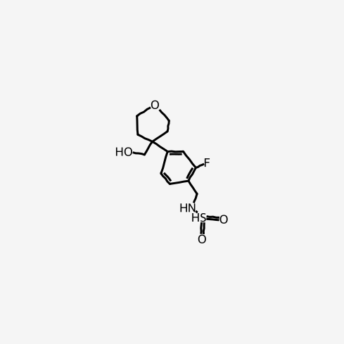 O=[SH](=O)NCc1ccc(C2(CO)CCOCC2)cc1F